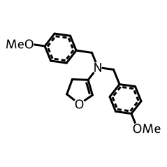 COc1ccc(CN(Cc2ccc(OC)cc2)C2=COCC2)cc1